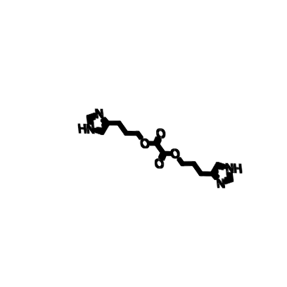 O=C(OCCCc1c[nH]cn1)C(=O)OCCCc1c[nH]cn1